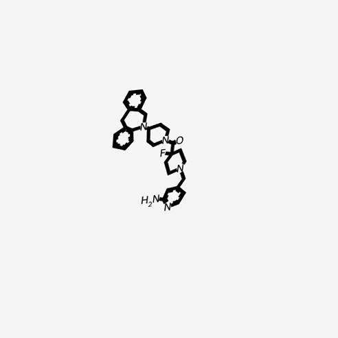 Nc1cc(CN2CCC(F)(C(=O)N3CCC(N4Cc5ccccc5Cc5ccccc54)CC3)CC2)ccn1